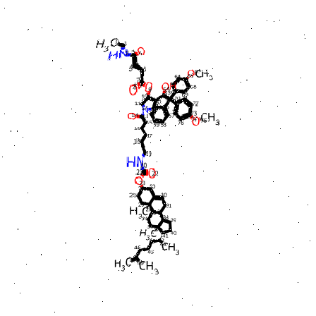 CCNC(=O)CCC(=O)OC1CN(C(=O)CCCCCNC(=O)OC2CC[C@@]3(C)C(=CCC4C3CC[C@@]3(C)C4CC[C@@H]3C(C)CCCC(C)C)C2)CC1C(O)C(c1ccccc1)(c1ccc(OC)cc1)c1ccc(OC)cc1